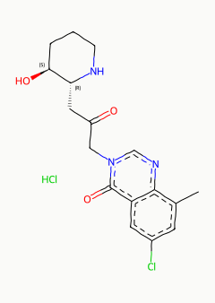 Cc1cc(Cl)cc2c(=O)n(CC(=O)C[C@H]3NCCC[C@@H]3O)cnc12.Cl